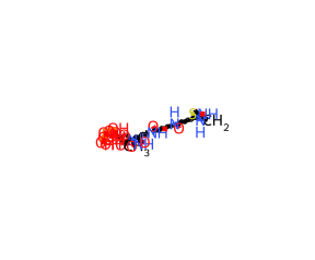 C=C1NC2CSC(CCCCC(=O)NCCCCCC(=O)NC/C=C/c3cn(C4COC(COP(=O)(O)OP(=O)(O)OP(=O)(O)O)C(O)C4C)c(=O)[nH]c3=O)C2N1